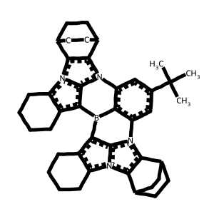 CC(C)(C)c1cc2c3c(c1)-n1c4c(n5c6c(c(c15)B3c1c3c(n5c7c(n-2c15)C1CCC7CC1)CCCC3)CCCC6)C1CCC4CC1